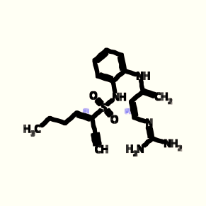 C#C/C(=C\CCC)S(=O)(=O)Nc1ccccc1NC(=C)/C=C\N=C(N)N